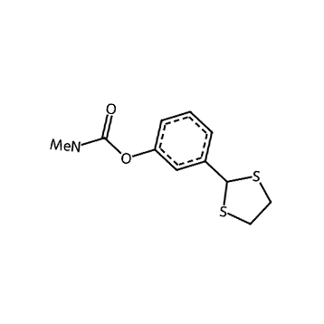 CNC(=O)Oc1cccc(C2SCCS2)c1